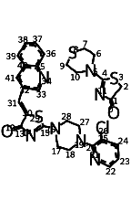 O=C1CSC(N2CCSCC2)=N1.O=C1N=C(N2CCN(c3ncccc3Cl)CC2)S/C1=C\c1cnc2ccccc2c1